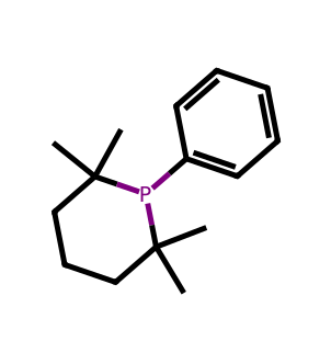 CC1(C)CCCC(C)(C)P1c1ccccc1